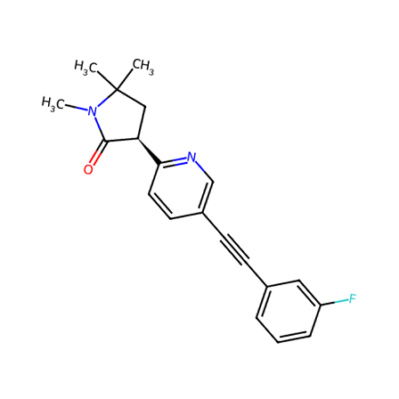 CN1C(=O)[C@H](c2ccc(C#Cc3cccc(F)c3)cn2)CC1(C)C